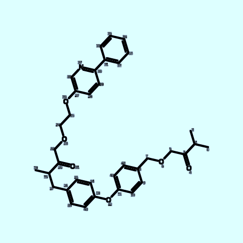 CC(C)C(=O)COCc1ccc(Oc2ccc(CC(C)C(=O)COCCOc3ccc(-c4ccccc4)nc3)cc2)cc1